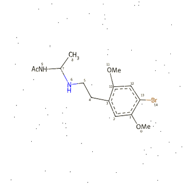 COc1cc(CCNC(C)NC(C)=O)c(OC)cc1Br